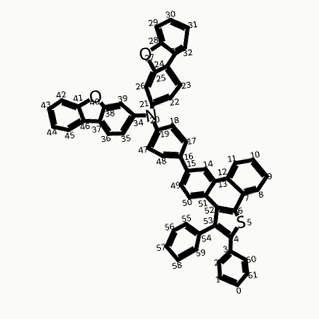 c1ccc(-c2sc3c4ccccc4c4cc(-c5ccc(N(c6ccc7c(c6)oc6ccccc67)c6ccc7c(c6)oc6ccccc67)cc5)ccc4c3c2-c2ccccc2)cc1